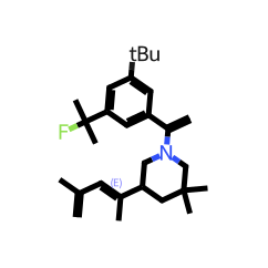 C=C(C)/C=C(\C)C1CN(C(=C)c2cc(C(C)(C)C)cc(C(C)(C)F)c2)CC(C)(C)C1